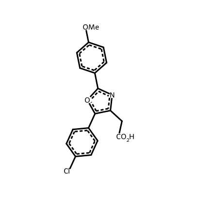 COc1ccc(-c2nc(CC(=O)O)c(-c3ccc(Cl)cc3)o2)cc1